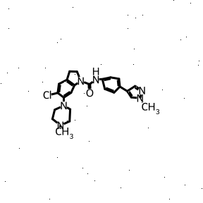 CN1CCN(c2cc3c(cc2Cl)CCN3C(=O)Nc2ccc(-c3cnn(C)c3)cc2)CC1